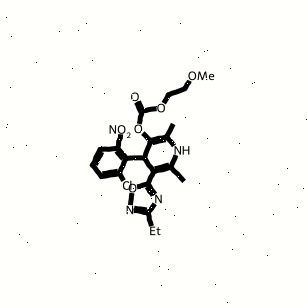 CCc1noc(C2=C(C)NC(C)=C(OC(=O)OCCOC)C2c2c(Cl)cccc2[N+](=O)[O-])n1